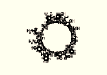 CCCC[C@H]1C(=O)N2C[C@H](O)C[C@@H]2C(=O)N[C@@H](CC(=O)O)C(=O)N[C@@H](C(C)C)C(=O)N(C)[C@@H](Cc2ccccc2)C(=O)N[C@@H](CCC(=O)O)C(=O)N2C[C@H](O)C[C@@H]2C(=O)N[C@@H](Cc2c[nH]c3ccccc23)C(=O)N[C@@H](Cc2ccc(O)cc2)C(=O)N[C@@H](CCCN)C(=O)N[C@H](C(=O)NCC(N)=O)CSCC(=O)N[C@@H](Cc2cc(F)c(F)c(F)c2)C(=O)N(C)[C@@H](Cc2ccc(O)cc2)C(=O)N1C